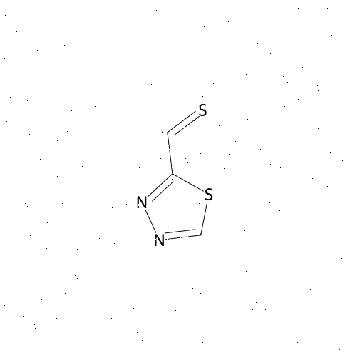 S=[C]c1nncs1